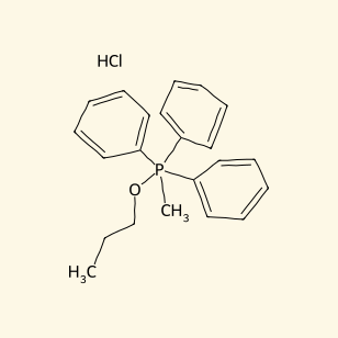 CCCOP(C)(c1ccccc1)(c1ccccc1)c1ccccc1.Cl